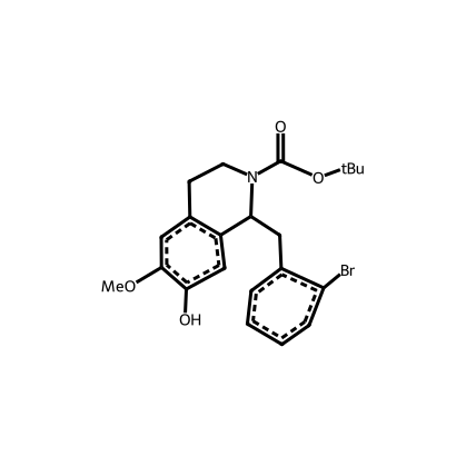 COc1cc2c(cc1O)C(Cc1ccccc1Br)N(C(=O)OC(C)(C)C)CC2